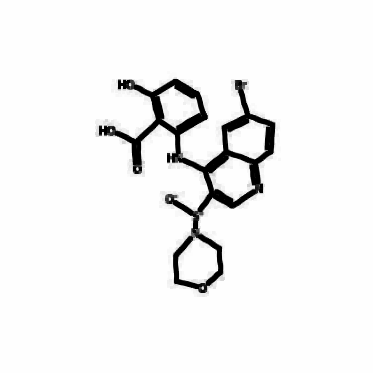 O=C(O)c1c(O)cccc1Nc1c([S+]([O-])N2CCOCC2)cnc2ccc(Br)cc12